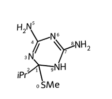 CSC1(C(C)C)N=C(N)N=C(N)N1